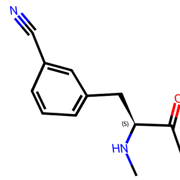 CN[C@@H](Cc1cccc(C#N)c1)C(C)=O